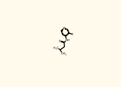 CC(C)CC(=O)Nc1ccncc1F